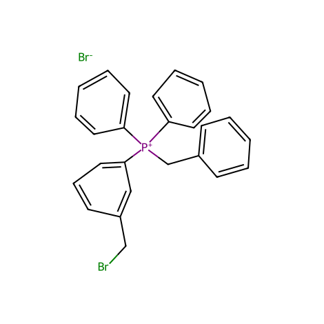 BrCc1cccc([P+](Cc2ccccc2)(c2ccccc2)c2ccccc2)c1.[Br-]